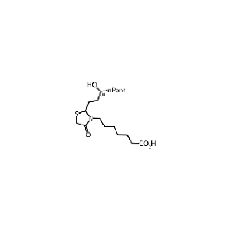 CCCCC[C@H](O)CCC1SCC(=O)N1CCCCCCC(=O)O